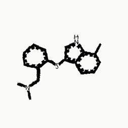 Cc1cccc2c(Sc3ccccc3CN(C)C)c[nH]c12